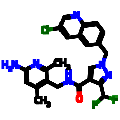 Cc1cc(N)nc(C)c1CNC(=O)c1cn(Cc2ccc3ncc(Cl)cc3c2)nc1C(F)F